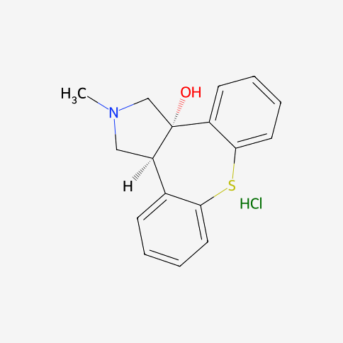 CN1C[C@@H]2c3ccccc3Sc3ccccc3[C@]2(O)C1.Cl